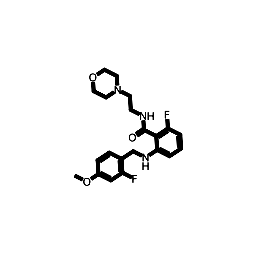 COc1ccc(CNc2cccc(F)c2C(=O)NCCN2CCOCC2)c(F)c1